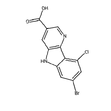 O=C(O)c1cnc2c(c1)[nH]c1cc(Br)cc(Cl)c12